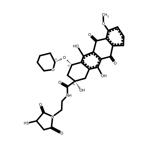 COc1cccc2c1C(=O)c1c(O)c3c(c(O)c1C2=O)C[C@@](O)(C(=O)NCCN1C(=O)CC(S)C1=O)C[C@@H]3O[C@H]1CCCCO1